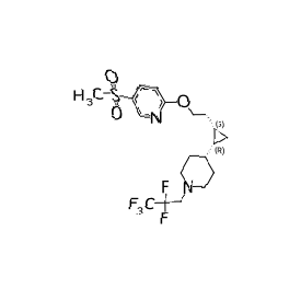 CS(=O)(=O)c1ccc(OCC[C@@H]2C[C@@H]2C2CCN(CC(F)(F)C(F)(F)F)CC2)nc1